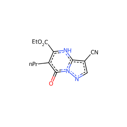 CCCc1c(C(=O)OCC)[nH]c2c(C#N)cnn2c1=O